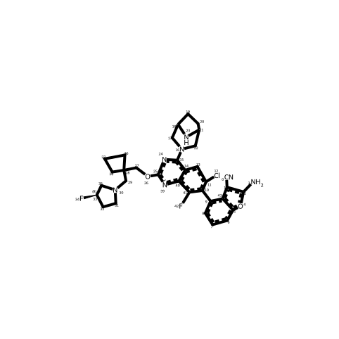 N#Cc1c(N)oc2cccc(-c3c(Cl)cc4c(N5CC6CCC(C5)N6)nc(OCC5(CN6CC[C@@H](F)C6)CCC5)nc4c3F)c12